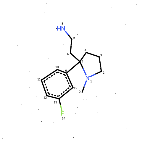 CN1CCCC1(CC[NH])c1cccc(F)c1